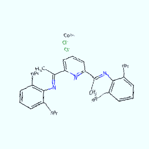 CCCc1cccc(CCC)c1N=C(C)c1cccc(C(C)=Nc2c(CCC)cccc2CCC)n1.[Cl-].[Cl-].[Co+2]